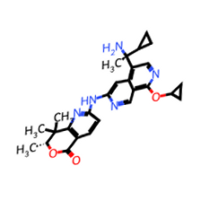 C[C@H]1OC(=O)c2ccc(Nc3cc4c([C@](C)(N)C5CC5)cnc(OC5CC5)c4cn3)nc2C1(C)C